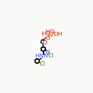 OP(O)CP(O)OC[C@@H]1CCC(c2ccc3c(NCc4ccccc4Cl)nc(Cl)nc3c2)O1